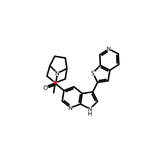 CN1CC2CCC(C1)N2C(=O)c1cnc2[nH]cc(-c3cc4ccncc4s3)c2c1